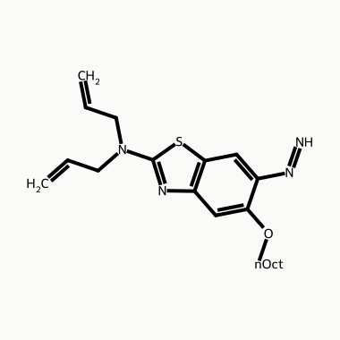 C=CCN(CC=C)c1nc2cc(OCCCCCCCC)c(N=N)cc2s1